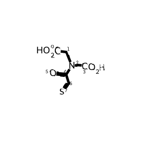 O=C(O)CN(C(=O)O)C(=O)C=S